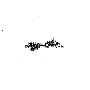 CC(=O)N[C@@H](C(=O)N1CCC[C@@H]1c1nc2cc(C#Cc3ccc4[nH]c([C@H]5CCCN5C(=O)[C@H](NC(C)=O)C(C)C)nc4c3)ccc2[nH]1)C(C)C